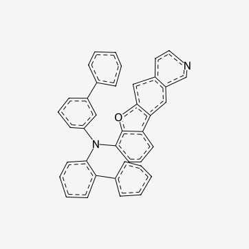 c1ccc(-c2cccc(N(c3ccccc3-c3ccccc3)c3cccc4c3oc3cc5ccncc5cc34)c2)cc1